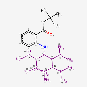 CC(C)(C)CC(=O)c1ccccc1NP(P(P(P)P)P(P)P)P(P(P)P)P(P(P)P)P(P)P